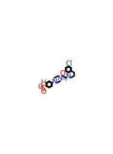 C[C@H](C(=O)N1CCN(c2ccc([SH](=O)=O)cc2)CC1)N1CCCc2cc(Cl)ccc21